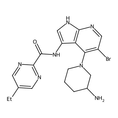 CCc1cnc(C(=O)Nc2c[nH]c3ncc(Br)c(N4CCCC(N)C4)c23)nc1